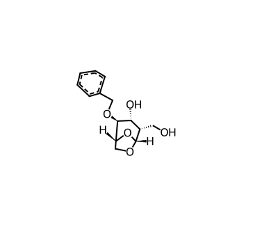 OC[C@@H]1[C@@H]2OC[C@@H](O2)[C@@H](OCc2ccccc2)[C@@H]1O